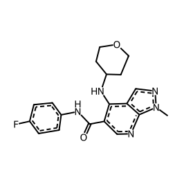 Cn1ncc2c(NC3CCOCC3)c(C(=O)Nc3ccc(F)cc3)cnc21